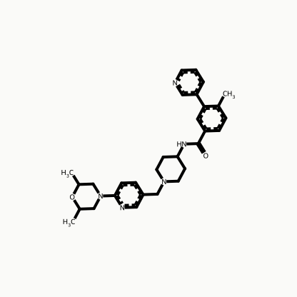 Cc1ccc(C(=O)NC2CCN(Cc3ccc(N4CC(C)OC(C)C4)nc3)CC2)cc1-c1cccnc1